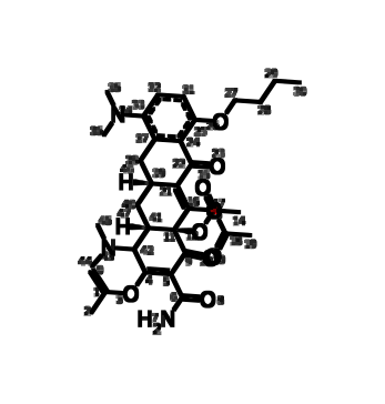 C=C(C)OC1=C(C(N)=O)C(=O)[C@@]2(OC(C)=O)C(OC(C)=O)=C3C(=O)c4c(OCCCC)ccc(N(C)C)c4C[C@H]3C[C@H]2C1N(C)C